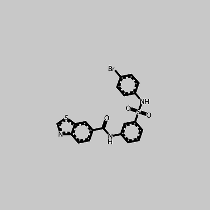 O=C(Nc1cccc(S(=O)(=O)Nc2ccc(Br)cc2)c1)c1ccc2ncsc2c1